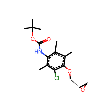 Cc1c(C)c(OC[C@@H]2CO2)c(Cl)c(C)c1NC(=O)OC(C)(C)C